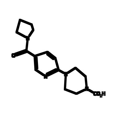 O=C(O)N1CCN(c2ccc(C(=O)N3CCCC3)cn2)CC1